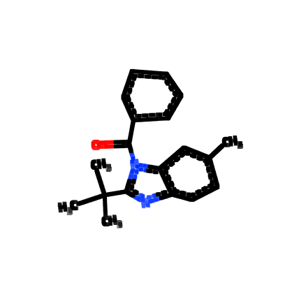 Cc1ccc2nc(C(C)(C)C)n(C(=O)c3ccccc3)c2c1